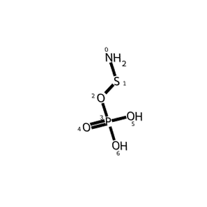 NSOP(=O)(O)O